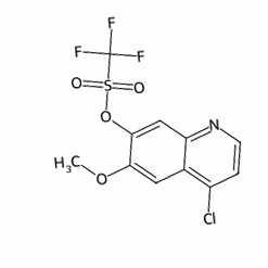 COc1cc2c(Cl)ccnc2cc1OS(=O)(=O)C(F)(F)F